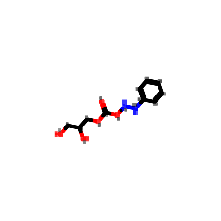 O=C(OCC(O)CO)ONNc1ccccc1